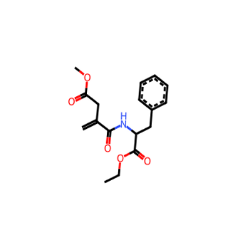 C=C(CC(=O)OC)C(=O)NC(Cc1ccccc1)C(=O)OCC